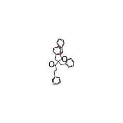 O=C(C=Cc1ccccc1)C(Cc1ccccc1)(Cc1ccccc1)C(=O)C=Cc1ccccc1